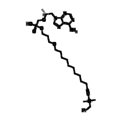 CC(C)C[Si](C)(C)C#CCCCCCCCCCCOCCCOP(=O)(O)CO[C@H](C)Cn1cnc2c(N)ncnc21